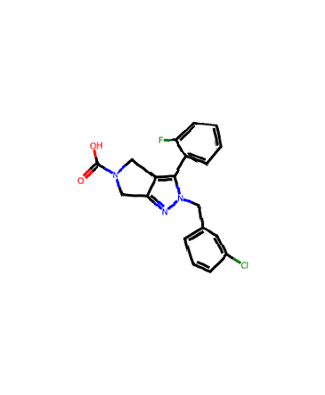 O=C(O)N1Cc2nn(Cc3cccc(Cl)c3)c(-c3ccccc3F)c2C1